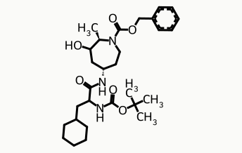 C[C@@H]1C(O)C[C@@H](NC(=O)C(CC2CCCCC2)NC(=O)OC(C)(C)C)CCN1C(=O)OCc1ccccc1